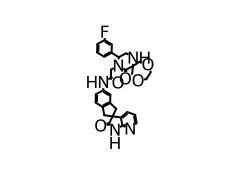 O=C(CN1C(=O)C2(COCCOC2)NCC1c1cccc(F)c1)Nc1ccc2c(c1)CC1(C2)C(=O)Nc2ncccc21